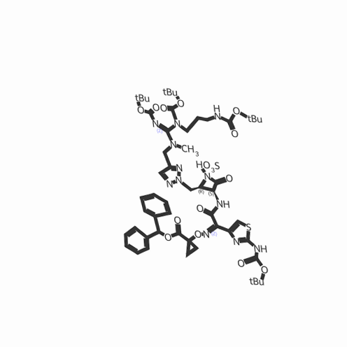 CN(Cc1cnn(C[C@@H]2[C@H](NC(=O)/C(=N\OC3(C(=O)OC(c4ccccc4)c4ccccc4)CC3)c3csc(NC(=O)OC(C)(C)C)n3)C(=O)N2S(=O)(=O)O)n1)/C(=N/C(=O)OC(C)(C)C)N(CCCNC(=O)OC(C)(C)C)C(=O)OC(C)(C)C